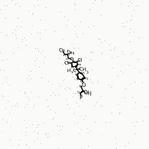 CC(C)(c1ccc(OCC(O)CF)cc1)c1cc(Cl)c(OCC(O)CCl)c(Cl)c1